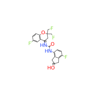 O=C(Nc1ccc(F)c2c1C[C@@H](O)C2)N[C@@H]1CC(CF)(CF)Oc2ccc(F)cc21